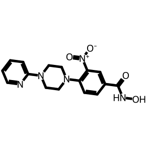 O=C(NO)c1ccc(N2CCN(c3ccccn3)CC2)c([N+](=O)[O-])c1